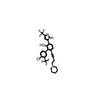 Oc1c(-c2cc(C(F)(F)F)n[nH]2)ccc(C#CCCN2CCCCC2)c1-c1ccc(Cl)c(C(F)(F)F)c1